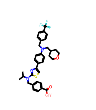 CC(C)N(Cc1ccc(C(=O)O)cc1)c1nc(-c2ccc(N(Cc3ccc(C(F)(F)F)cc3)CC3CCOCC3)cc2)cs1